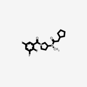 CN(C(=O)CC1CCCC1)C1CCN(C(=O)c2cc(I)cc(F)c2F)C1